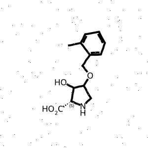 Cc1ccccc1COC1CN[C@H](C(=O)O)C1O